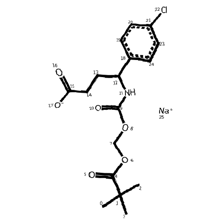 CC(C)(C)C(=O)OCOC(=O)NC(CCC(=O)[O-])c1ccc(Cl)cc1.[Na+]